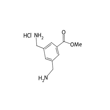 COC(=O)c1cc(CN)cc(CN)c1.Cl